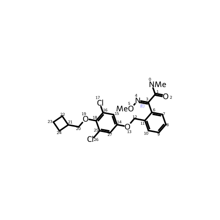 CNC(=O)/C(=N/OC)c1ccccc1COc1cc(Cl)c(OCC2CCC2)c(Cl)c1